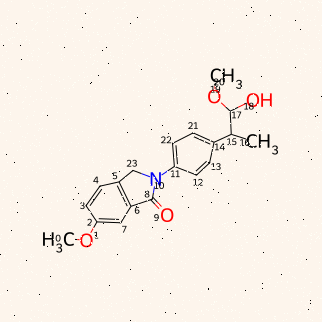 COc1ccc2c(c1)C(=O)N(c1ccc(C(C)C(O)OC)cc1)C2